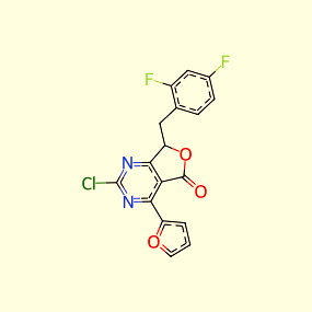 O=C1OC(Cc2ccc(F)cc2F)c2nc(Cl)nc(-c3ccco3)c21